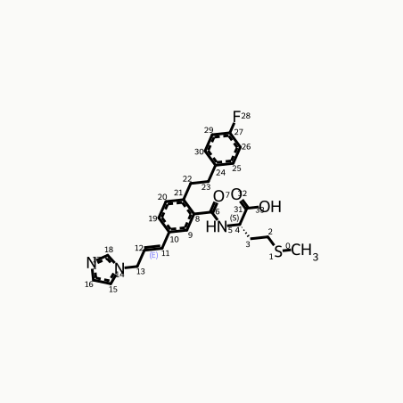 CSCC[C@H](NC(=O)c1cc(/C=C/Cn2ccnc2)ccc1CCc1ccc(F)cc1)C(=O)O